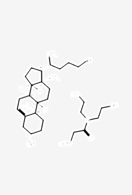 CC(C)CCCC(C)[C@H]1CC[C@H]2[C@@H]3CC=C4C[C@@H](O)CC[C@]4(C)[C@H]3CC[C@]12C.CCCCCCCCCCCC(=O)N(CCO)CCO